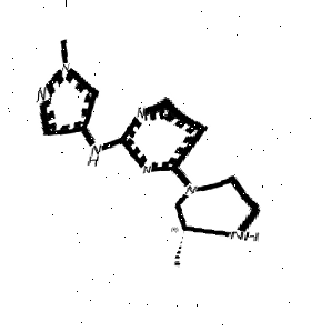 C[C@@H]1CN(c2ccnc(Nc3cnn(C)c3)n2)CCN1